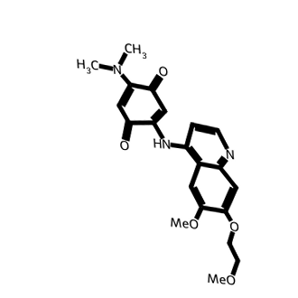 COCCOc1cc2nccc(NC3=CC(=O)C(N(C)C)=CC3=O)c2cc1OC